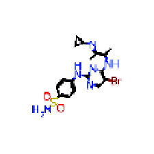 C/C(=N\C1CC1)C(C)Nc1nc(Nc2ccc(S(N)(=O)=O)cc2)ncc1Br